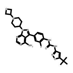 CC(C)(C)c1cc(NC(=O)Nc2ccc(-c3nn(C4CCN(C5COC5)CC4)c4ncnc(N)c34)cc2F)no1